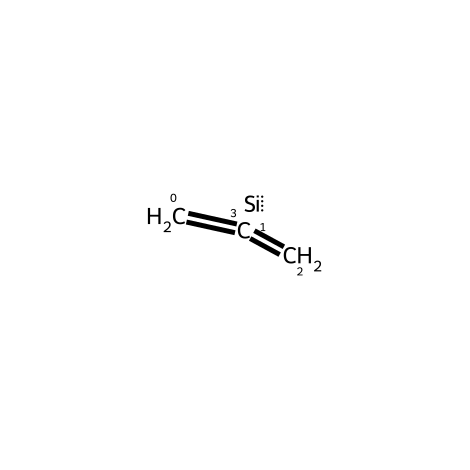 C=C=C.[Si]